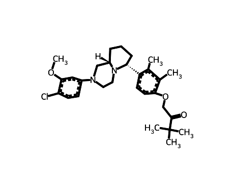 COc1cc(N2CCN3[C@@H](CCC[C@@H]3c3ccc(OCC(=O)C(C)(C)C)c(C)c3C)C2)ccc1Cl